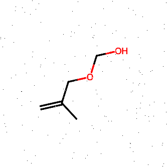 C=C(C)COCO